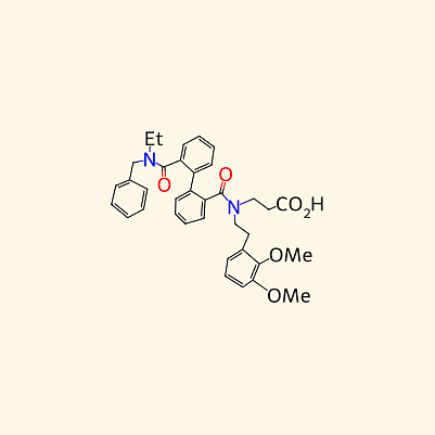 CCN(Cc1ccccc1)C(=O)c1ccccc1-c1ccccc1C(=O)N(CCC(=O)O)CCc1cccc(OC)c1OC